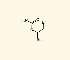 CC(C)(C)C(CBr)OC(N)=O